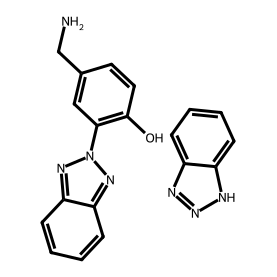 NCc1ccc(O)c(-n2nc3ccccc3n2)c1.c1ccc2[nH]nnc2c1